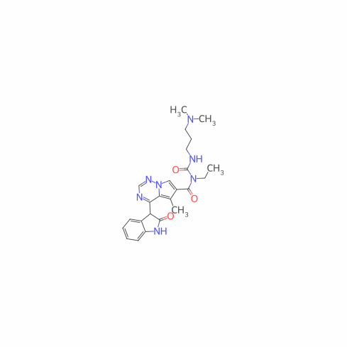 CCN(C(=O)NCCCN(C)C)C(=O)c1cn2ncnc(C3C(=O)Nc4ccccc43)c2c1C